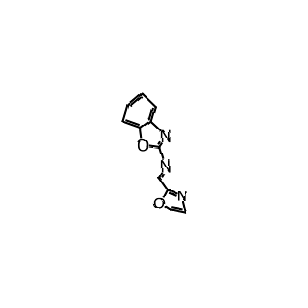 C(=Nc1nc2ccccc2o1)c1ncco1